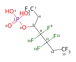 O=P(O)(O)OC(CC(F)(F)F)C(F)(F)C(F)(F)CC(F)(F)F